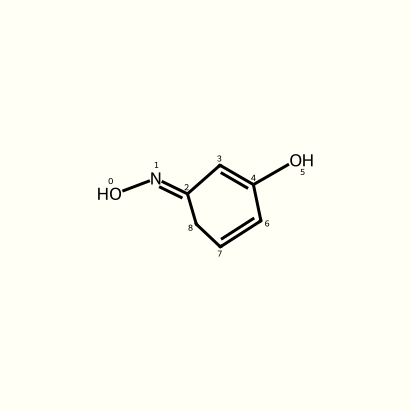 O/N=C1/C=C(O)C=CC1